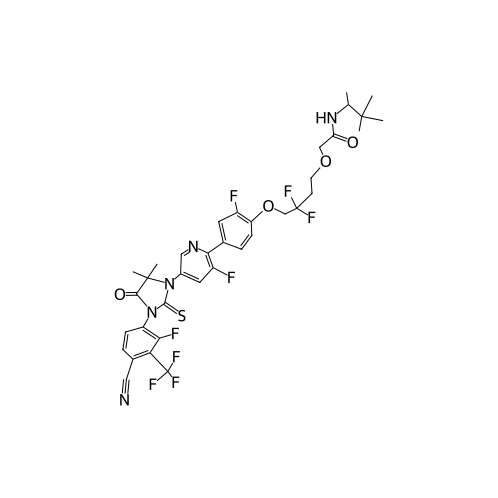 CC(NC(=O)COCCC(F)(F)COc1ccc(-c2ncc(N3C(=S)N(c4ccc(C#N)c(C(F)(F)F)c4F)C(=O)C3(C)C)cc2F)cc1F)C(C)(C)C